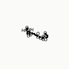 O=C1NC2CS(=O)(=O)[C@@H](CCCCC(=O)OCOC(=O)ON3C(=O)CCC3=O)C2N1